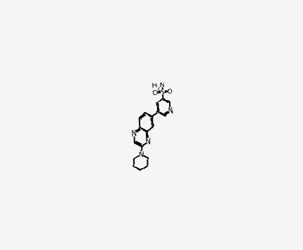 NS(=O)(=O)c1cncc(-c2ccc3ncc(N4CCCCC4)nc3c2)c1